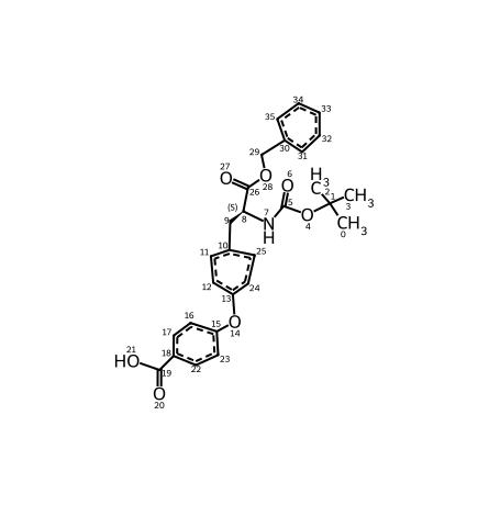 CC(C)(C)OC(=O)N[C@@H](Cc1ccc(Oc2ccc(C(=O)O)cc2)cc1)C(=O)OCc1ccccc1